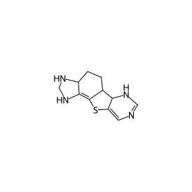 C1=NC=C2SC3=C4NCNC4CCC3C2N1